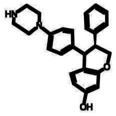 Oc1ccc2c(c1)OC[C@H](c1ccccc1)C2c1ccc(N2CCNCC2)cc1